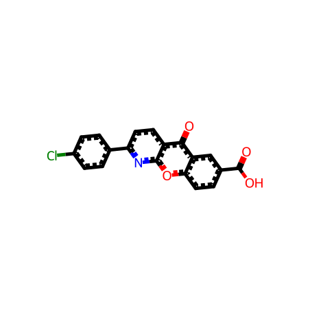 O=C(O)c1ccc2oc3nc(-c4ccc(Cl)cc4)ccc3c(=O)c2c1